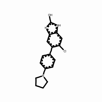 Oc1nc2cc(-c3ccc(N4CCCC4)cc3)c(Cl)cc2[nH]1